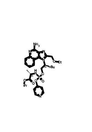 CCCC[C@@H](COP(=O)(N[C@@H](C)C(=O)OC(C)C)Oc1ccncc1)n1c(COCC)nc2c(N)nc3ccccc3c21